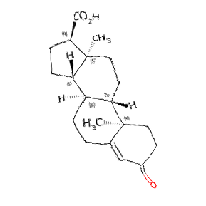 C[C@]12CC[C@H]3[C@@H](CCC4=CC(=O)CC[C@@]43C)[C@@H]1CC[C@H]2C(=O)O